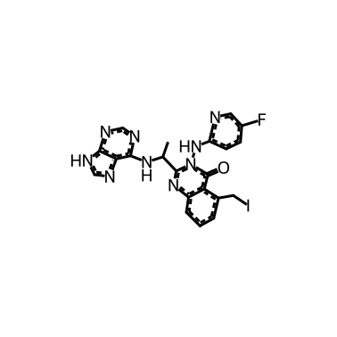 CC(Nc1ncnc2[nH]cnc12)c1nc2cccc(CI)c2c(=O)n1Nc1ccc(F)cn1